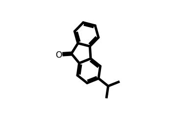 CC(C)c1ccc2c(c1)-c1ccccc1C2=O